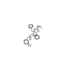 CCc1cccc(CNC[C@@H](O)C(Cc2ccccc2)(Cc2ccccc2)OC(N)=O)c1